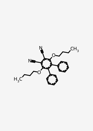 CCCCOc1c(C#N)c(C#N)c(OCCCC)c(-c2ccccc2)c1-c1ccccc1